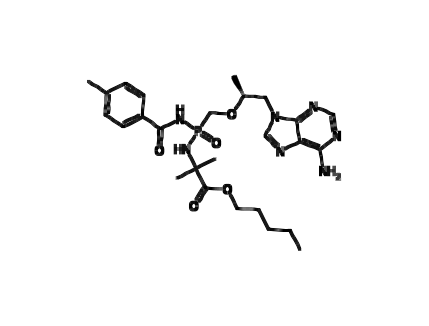 CCCCCOC(=O)C(C)(C)NP(=O)(CO[C@@H](C)Cn1cnc2c(N)ncnc21)NC(=O)c1ccc(C)cc1